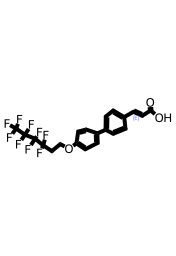 O=C(O)/C=C/c1ccc(-c2ccc(OCCC(F)(F)C(F)(F)C(F)(F)C(F)(F)F)cc2)cc1